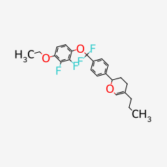 CCCC1=COC(c2ccc(C(F)(F)Oc3ccc(OCC)c(F)c3F)cc2)CC1